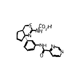 O=C(O)NC1=N[C@@]2(c3cccc(NC(=O)c4ccncn4)c3)CCCC2CS1